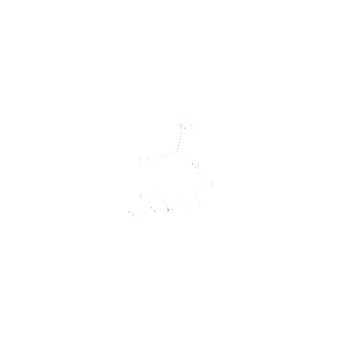 CC(=O)O.CC(=O)O.CC(=O)O.NC(N)C(=O)O.[NaH].[NaH]